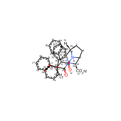 CC(C(=O)N1C[C@@H]2CCC([C@H]1C(=O)O)N2C(=O)C(c1ccccc1)c1ccccc1)(c1ccccc1)c1ccccc1